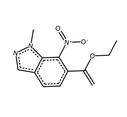 C=C(OCC)c1ccc2cnn(C)c2c1[N+](=O)[O-]